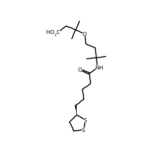 CC(C)(CCOC(C)(C)CC(=O)O)NC(=O)CCCC[C@@H]1CCSS1